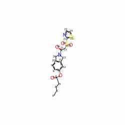 CCCCC(=O)Oc1ccc2c(c1)CN(C(=O)CS(=O)(=O)c1nccs1)C2